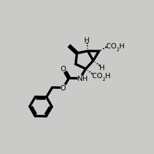 C=C1C[C@@](NC(=O)OCc2ccccc2)(C(=O)O)[C@H]2[C@@H]1[C@@H]2C(=O)O